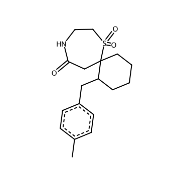 Cc1ccc(CC2CCCCC23CC(=O)NCCS3(=O)=O)cc1